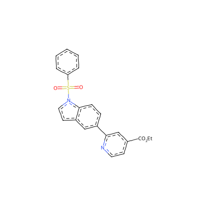 CCOC(=O)c1ccnc(-c2ccc3c(ccn3S(=O)(=O)c3ccccc3)c2)c1